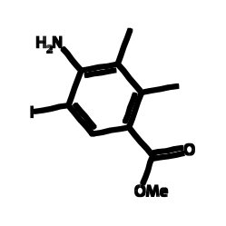 COC(=O)c1cc(I)c(N)c(C)c1C